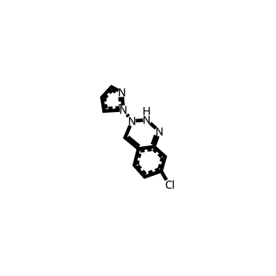 Clc1ccc2c(c1)=NNN(n1cccn1)C=2